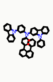 c1ccc(-c2cccc3cccc(-c4ccc(N(c5cccc(-n6c7ccccc7c7ccccc76)c5)c5ccc6c7ccccc7n(-c7ccccc7)c6c5)cc4)c23)cc1